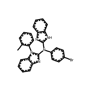 Cc1ccccc1-n1c(N(c2ccc(Br)cc2)c2nc3ccccc3[nH]2)nc2ccccc21